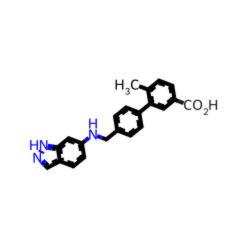 Cc1ccc(C(=O)O)cc1-c1ccc(CNc2ccc3cn[nH]c3c2)cc1